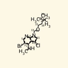 CNc1c(Br)cnc2c1c(Cl)cn2COCC[Si](C)(C)C